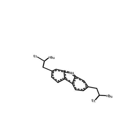 CCCCC(CC)Cc1ccc2c(c1)[nH]c1cc(CC(CC)CCCC)ccc12